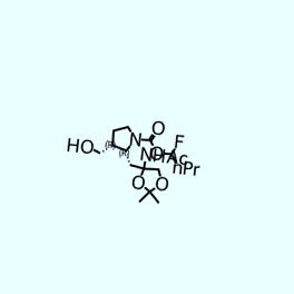 CCCC(F)OC(=O)N1CC[C@@H](CO)[C@H]1CC1(NC(C)=O)COC(C)(C)O1